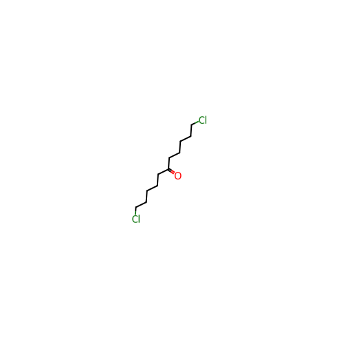 O=C(CCCCCCl)CCCCCCl